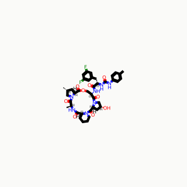 Cc1ccc(NC(=O)N[C@@H](Cc2cc(F)cc(F)c2)C(=O)N[C@H]2COC(=O)[C@@H]3C[C@@H](C)CN3C(=O)[C@H](C)NC(=O)[C@@H]3CCCCN3C(=O)[C@@H]3C[C@@H](O)CN3C2=O)cc1